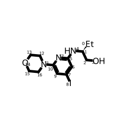 CC[C@H](CO)Nc1cc(I)cc(N2CCOCC2)n1